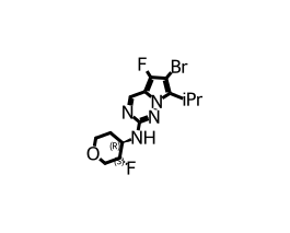 CC(C)c1c(Br)c(F)c2cnc(N[C@@H]3CCOC[C@H]3F)nn12